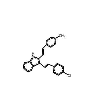 Cc1ccc(/C=C/c2[nH]c3ccccc3c2/C=C/c2ccc(Cl)cc2)cc1